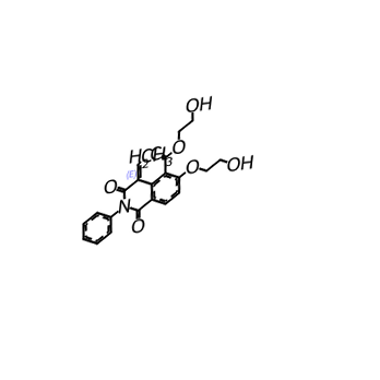 C=C(OCCO)c1c(OCCO)ccc2c1/C(=C\C)C(=O)N(c1ccccc1)C2=O